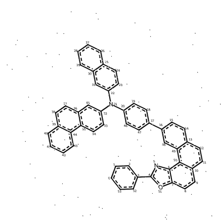 c1ccc(-c2nc3c(ccc4ccc5ccc(-c6ccc(N(c7ccc8ccccc8c7)c7ccc8c(ccc9ccccc98)c7)cc6)cc5c43)o2)cc1